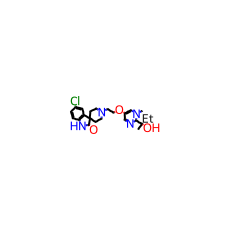 CCC(C)(O)C1N=CC(OCCN2CCC3(CC2)C(=O)Nc2ccc(Cl)cc23)=CN1C